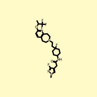 CC(Oc1ccc2c(n1)CCN(CCC1(F)CCC(NC(=O)Cc3cn(C)nc3F)CC1)CC2)C(F)(F)F